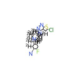 [2H]c1cc(F)c(C#N)c([2H])c1C([2H])N1C([2H])([2H])C([2H])([2H])C([2H])(N([2H])c2ncnc3sc(Cl)c([2H])c23)C([2H])([2H])C1([2H])[2H]